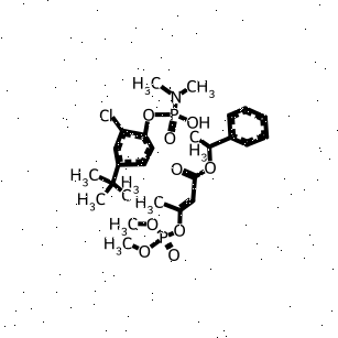 CN(C)P(=O)(O)Oc1ccc(C(C)(C)C)cc1Cl.COP(=O)(OC)O/C(C)=C/C(=O)OC(C)c1ccccc1